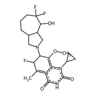 COC1=c2c(c(=O)[nH]c(=O)n2C2CC2)=C(C)C(F)C1N1CC2CCCC(F)(F)C(O)C2C1